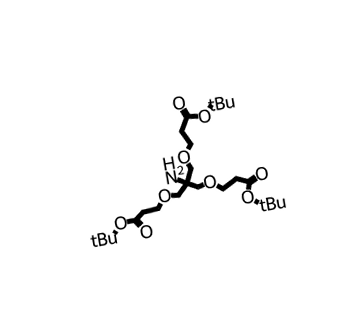 CC(C)(C)OC(=O)CCOCC(N)(COCCC(=O)OC(C)(C)C)COCCC(=O)OC(C)(C)C